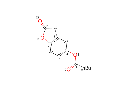 CCC(C)C(=O)Oc1ccc2c(c1)CC(=O)O2